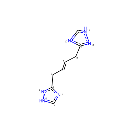 C(=CCc1nc[nH]n1)Cc1nc[nH]n1